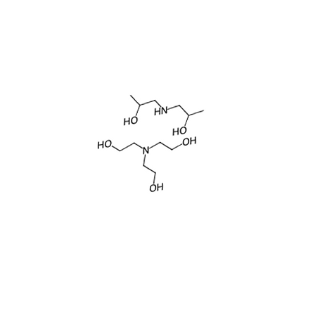 CC(O)CNCC(C)O.OCCN(CCO)CCO